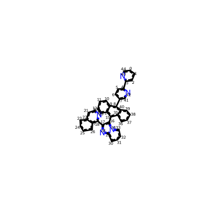 c1ccc(-c2ccc(-c3c4ccccc4c(-c4c(-c5nccc6ccccc56)nc5ccccn45)c4ccccc34)cn2)nc1